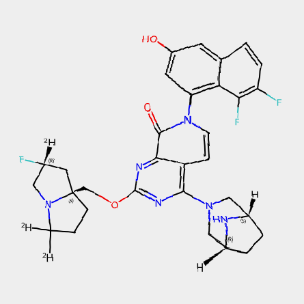 [2H]C1([2H])CC[C@@]2(COc3nc(N4C[C@H]5CC[C@@H](C4)N5)c4ccn(-c5cc(O)cc6ccc(F)c(F)c56)c(=O)c4n3)C[C@@]([2H])(F)CN12